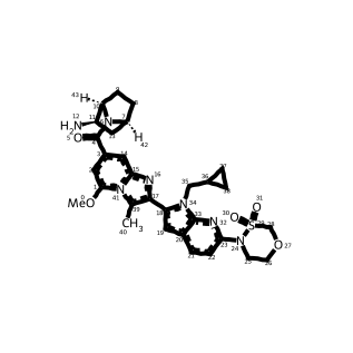 COc1cc(C(=O)N2[C@H]3CC[C@@H]2[C@H](N)C3)cc2nc(-c3cc4ccc(N5CCOCS5(=O)=O)nc4n3CC3CC3)c(C)n12